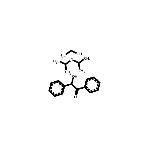 CC(C)OC(C)C.CCO.O=C(c1ccccc1)C(O)c1ccccc1